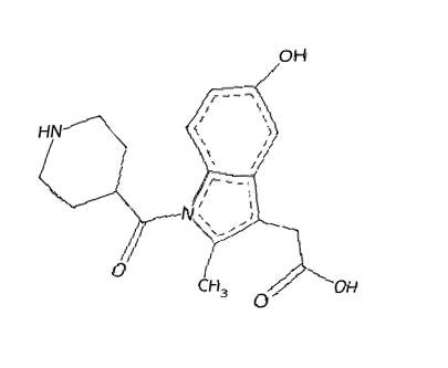 Cc1c(CC(=O)O)c2cc(O)ccc2n1C(=O)C1CCNCC1